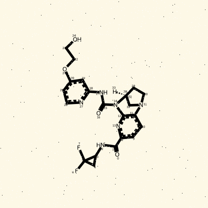 O=C(NC1CC1(F)F)c1ccc2c(n1)N(C(=O)Nc1cc(OCCO)ccn1)[C@H]1CCN2C1